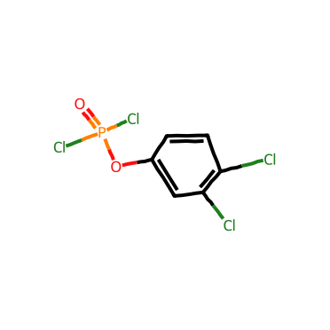 O=P(Cl)(Cl)Oc1ccc(Cl)c(Cl)c1